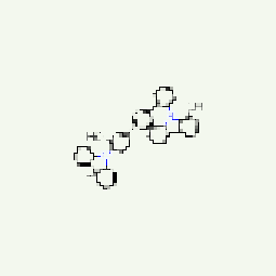 CC12C=CC=CC1N(c1ccc(-c3ccc(-c4ccccc4-n4c5ccccc5c5cccc(C#N)c54)cc3)cc1C#N)c1ccccc12